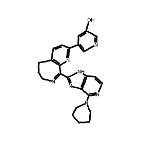 Oc1cncc(-c2ccc3c(n2)C(c2nc4c(N5CCCCC5)nccc4[nH]2)=NCCC3)c1